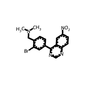 CN(C)Cc1ccc(-c2ncnc3ccc([N+](=O)[O-])cc23)cc1Br